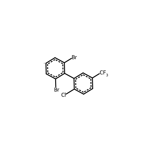 FC(F)(F)c1ccc(Cl)c(-c2c(Br)c[c]cc2Br)c1